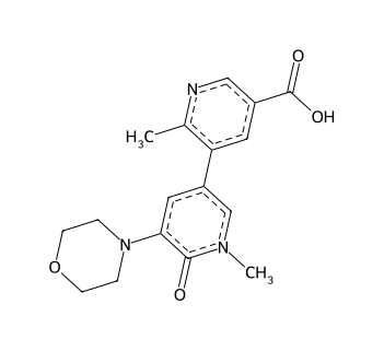 Cc1ncc(C(=O)O)cc1-c1cc(N2CCOCC2)c(=O)n(C)c1